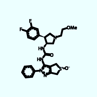 COCCN1C[C@@H](NC(=O)Nc2c3c(nn2-c2ccccc2)C[S+]([O-])C3)[C@H](c2ccc(F)c(F)c2)C1